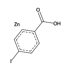 O=C(O)c1ccc(I)cc1.[Zn]